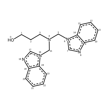 OCCCN(Cn1cnc2ccccc21)Cn1cnc2ccccc21